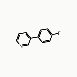 Fc1ccc(-c2cccnc2)cc1